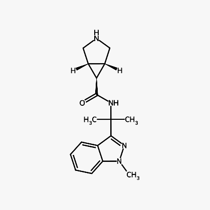 Cn1nc(C(C)(C)NC(=O)[C@H]2[C@@H]3CNC[C@@H]32)c2ccccc21